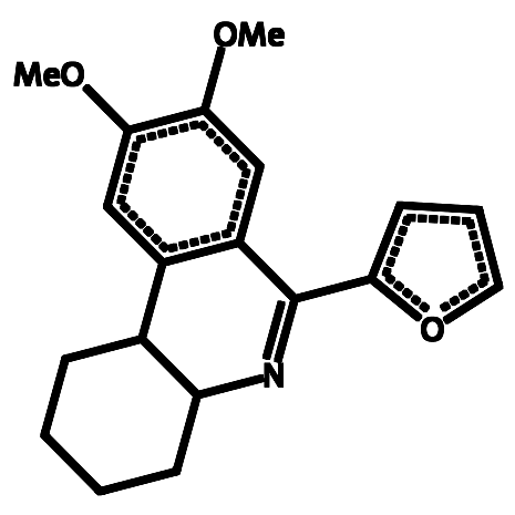 COc1cc2c(cc1OC)C1CCCCC1N=C2c1ccco1